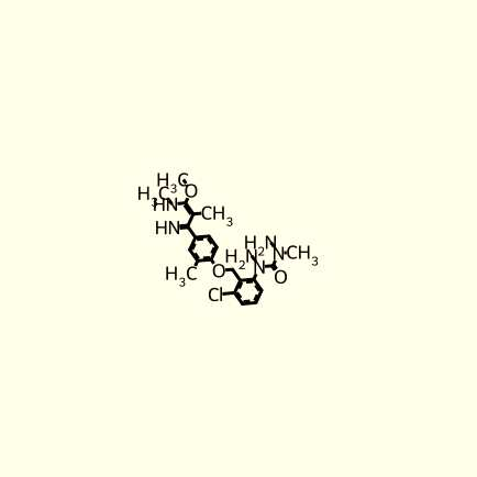 CN/C(OC)=C(/C)C(=N)c1ccc(OCc2c(Cl)cccc2N(N)C(=O)N(C)N)c(C)c1